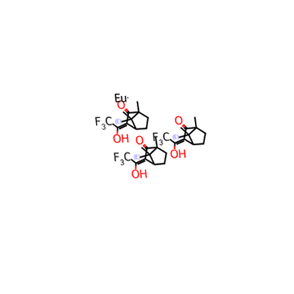 CC12CCC(/C(=C(\O)C(F)(F)F)C1=O)C2(C)C.CC12CCC(/C(=C(\O)C(F)(F)F)C1=O)C2(C)C.CC12CCC(/C(=C(\O)C(F)(F)F)C1=O)C2(C)C.[Eu]